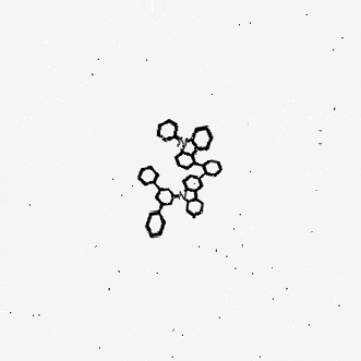 C1CCC(C2CC(C3CCCCC3)CC(N3C4CCCCC4C4CC(C5CCCCC5C5CCCC6C5C5CCCCC5N6C5CCCCC5)CCC43)C2)CC1